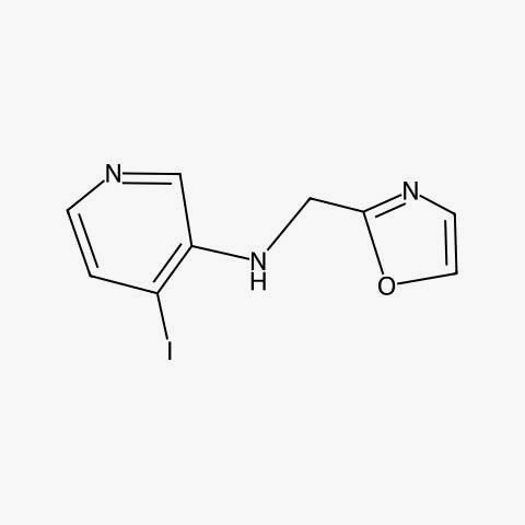 Ic1ccncc1NCc1ncco1